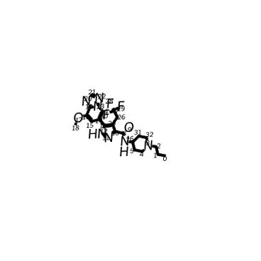 CCCN1CCC(NC(=O)c2n[nH]c(-c3cc(OC)c4ncnn4c3)c2CC(F)(F)F)CC1